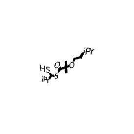 CC(C)CCOC(C)(C)C(=O)SC(S)C(C)C